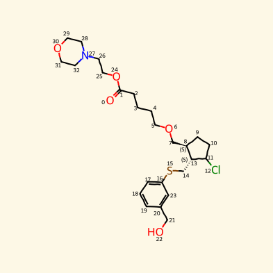 O=C(CCCCOC[C@H]1CCC(Cl)[C@@H]1CSc1cccc(CO)c1)OCCN1CCOCC1